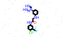 N=CN(N=N)c1cccc(NCC(=O)Nc2ccc(Cl)c(C(F)(F)F)c2)c1